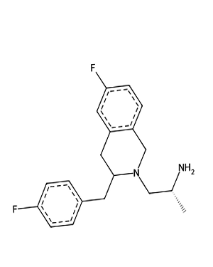 C[C@@H](N)CN1Cc2ccc(F)cc2CC1Cc1ccc(F)cc1